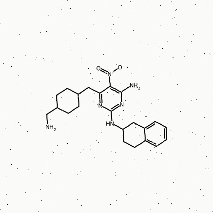 NCC1CCC(Cc2nc(NC3CCc4ccccc4C3)nc(N)c2[N+](=O)[O-])CC1